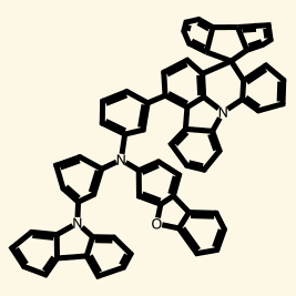 c1cc(-c2ccc3c4c2c2ccccc2n4-c2ccccc2C32c3ccccc3-c3ccccc32)cc(N(c2cccc(-n3c4ccccc4c4ccccc43)c2)c2ccc3c(c2)oc2ccccc23)c1